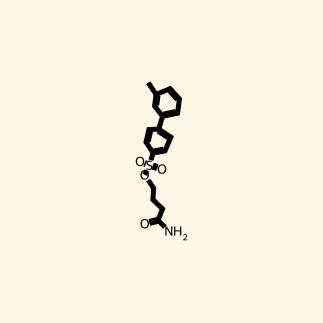 Cc1cccc(-c2ccc(S(=O)(=O)OCCCC(N)=O)cc2)c1